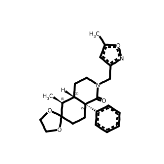 Cc1cc(CN2CC[C@H]3[C@H](C)C4(CC[C@]3(c3ccccc3)C2=O)OCCO4)no1